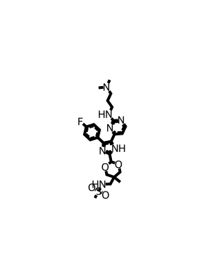 CN(C)CCCNc1nccc(-c2[nH]c(C3OCC(C)(CNS(C)(=O)=O)CO3)nc2-c2ccc(F)cc2)n1